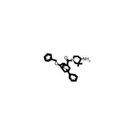 CC1(C)CN(C(=O)C23CC4CC(c5ccccc5)(CC2C4OCc2ccccc2)C3)CC[C@@H]1N